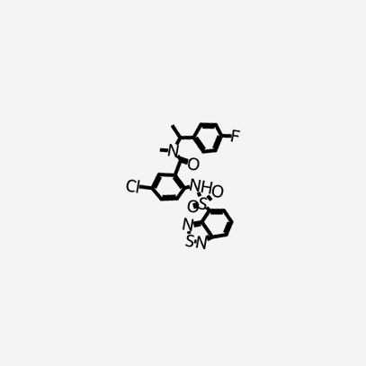 CC(c1ccc(F)cc1)N(C)C(=O)c1cc(Cl)ccc1NS(=O)(=O)c1cccc2nsnc12